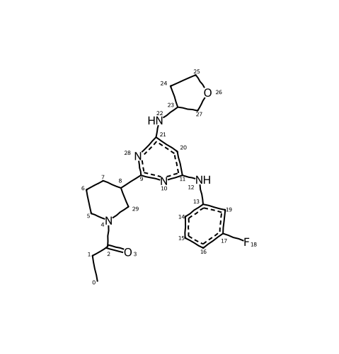 CCC(=O)N1CCCC(c2nc(Nc3cccc(F)c3)cc(NC3CCOC3)n2)C1